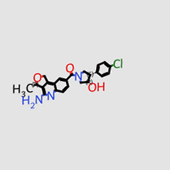 C[C@H]1OCc2c1c(N)nc1ccc(C(=O)N3C[C@H](c4ccc(Cl)cc4)[C@@H](O)C3)cc21